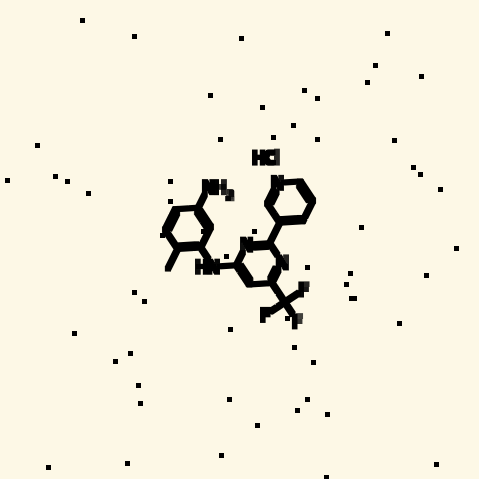 Cc1ccc(N)cc1Nc1cc(C(F)(F)F)nc(-c2cccnc2)n1.Cl